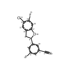 N#Cc1cc(F)cc(C2Cc3cc(Cl)c(F)cc3O2)c1